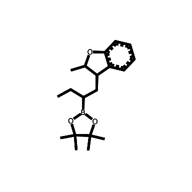 CCC(CC1c2ccccc2OC1C)B1OC(C)(C)C(C)(C)O1